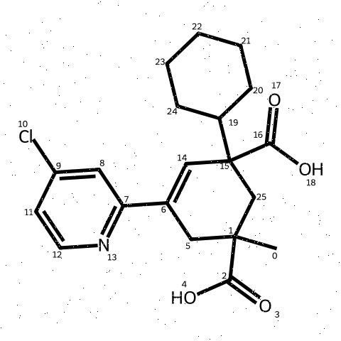 CC1(C(=O)O)CC(c2cc(Cl)ccn2)=CC(C(=O)O)(C2CCCCC2)C1